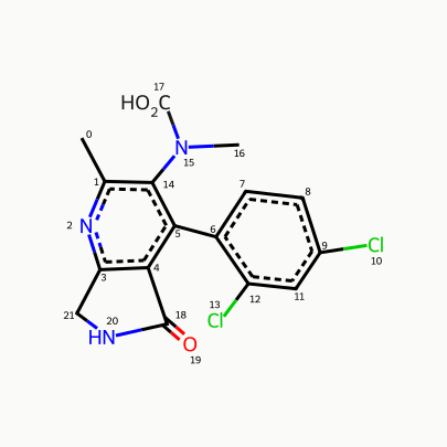 Cc1nc2c(c(-c3ccc(Cl)cc3Cl)c1N(C)C(=O)O)C(=O)NC2